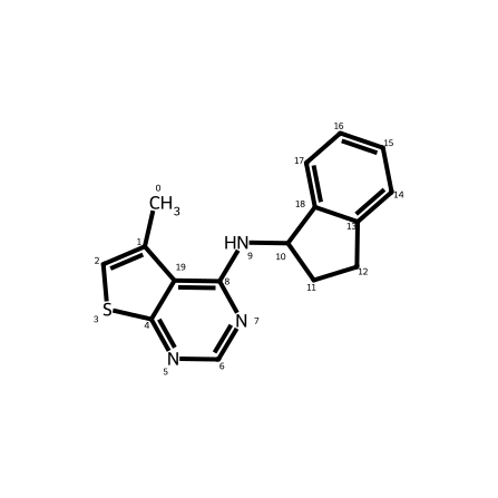 Cc1csc2ncnc(NC3CCc4ccccc43)c12